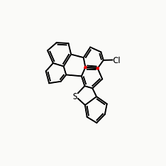 Clc1ccc(-c2cccc3cccc(-c4cccc5c4sc4ccccc45)c23)cc1